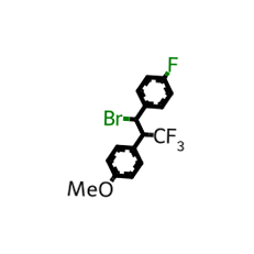 COc1ccc(C(C(Br)c2ccc(F)cc2)C(F)(F)F)cc1